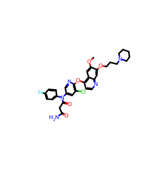 COc1cc2c(Oc3ncc(N(C(=O)CC(N)=O)c4ccc(F)cc4)cc3Cl)ccnc2cc1OCCCN1CCCCC1